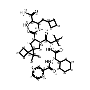 CC(C)(C)[C@H](NC(=O)[C@@H](NC(=O)c1cnccn1)C1CCCCC1)C(=O)N1CC2(C[C@H]1C(=O)NC(CC1CCC1)C(O)C(N)=O)C(C)(C)C21CCC1